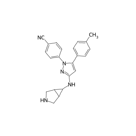 Cc1ccc(-c2cc(NC3C4CNCC43)nn2-c2ccc(C#N)cc2)cc1